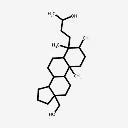 CC(O)CCC1(C)C(C)CCC2(C)C3CCC4(CO)CCCC4C3CCC12